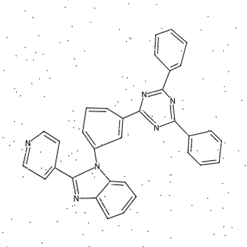 c1ccc(-c2nc(-c3ccccc3)nc(-c3cccc(-n4c(-c5ccncc5)nc5ccccc54)c3)n2)cc1